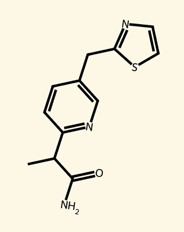 CC(C(N)=O)c1ccc(Cc2nccs2)cn1